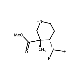 COC(=O)[C@]1(C)CNCC[C@@H]1C(F)F